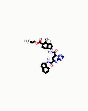 C=CCOC(=O)c1ccc2c(c1C)CC[C@@H]2NC(=O)c1cc(C(=O)N[C@@H]2CCc3ccccc32)nc2ncnn12